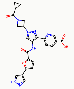 O=C(Nc1cn(C2CN(C(=O)C3CC3)C2)nc1-c1ccccn1)c1ccc(-c2cn[nH]c2)o1.O=CO